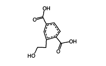 O=C(O)c1ccc(C(=O)O)c(CCO)c1